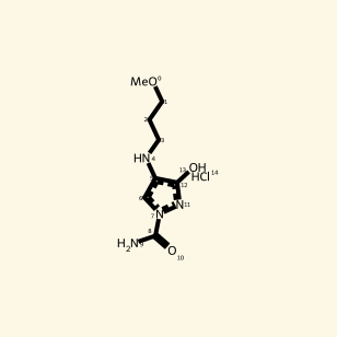 COCCCNc1cn(C(N)=O)nc1O.Cl